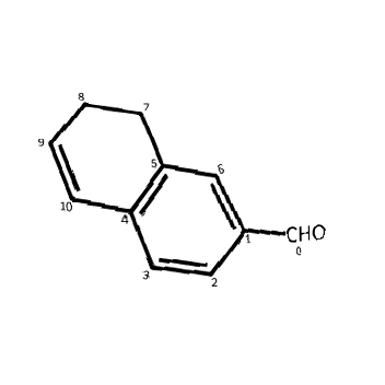 O=Cc1ccc2c(c1)CCC=C2